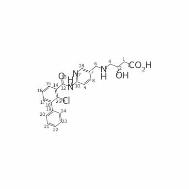 O=C(O)C[C@@H](O)CNCc1ccc(NC(=O)c2cccc(-c3ccccc3)c2Cl)nc1